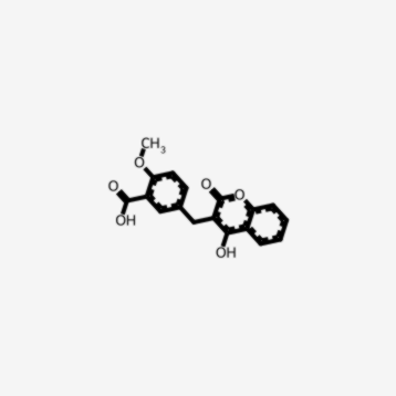 COc1ccc(Cc2c(O)c3ccccc3oc2=O)cc1C(=O)O